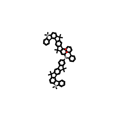 CC1(C)c2cc(N(c3ccc4c(c3)C(C)(C)c3cc5c(cc3-4)C(C)(C)c3ccc4c(c3-5)-c3ccccc3S4(C)C)c3ccccc3-c3ccccc3)ccc2-c2cc3c(cc21)-c1c(ccc2c1-c1ccccc1S2(C)C)C3(C)C